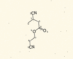 CC(C#N)CC(=O)OCCC#N